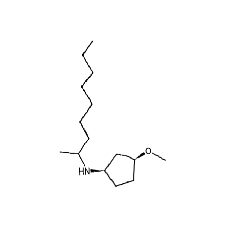 CCCCCCCC(C)N[C@@H]1CC[C@H](OC)C1